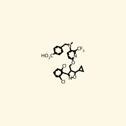 CN(Cc1ccc(C(=O)O)cc1)c1ccc(OCC2C(c3c(Cl)cccc3Cl)=NOC2C2CC2)nc1C(F)(F)F